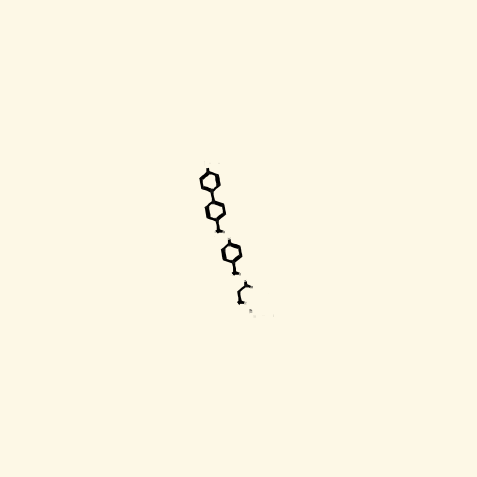 CCCCCCCCc1ccc(-c2ccc(C(=O)Oc3ccc(C(=O)OC(CC(=O)OCCCCCC)C(F)(F)F)cc3)cc2)cc1